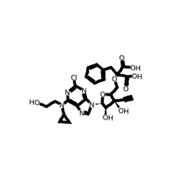 C#C[C@@]1(O)C(COC(Cc2ccccc2)(C(=O)O)C(=O)O)O[C@@H](n2cnc3c(N(CCO)C4CC4)nc(Cl)nc32)[C@@H]1O